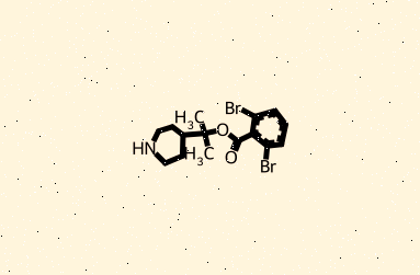 CC(C)(OC(=O)c1c(Br)cccc1Br)C1CCNCC1